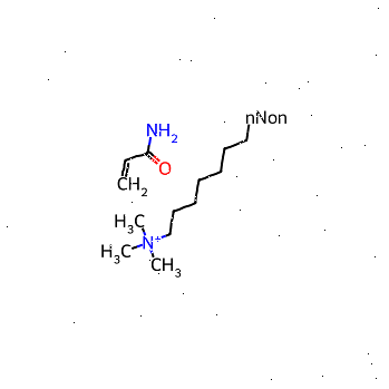 C=CC(N)=O.CCCCCCCCCCCCCCCC[N+](C)(C)C